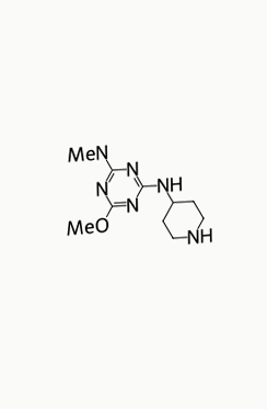 CNc1nc(NC2CCNCC2)nc(OC)n1